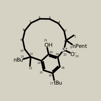 CCCCCC1(C)CCCCCCCCC(C)(CCCC)c2cc(C(C)(C)C)cc(c2O)[S+]1[O-]